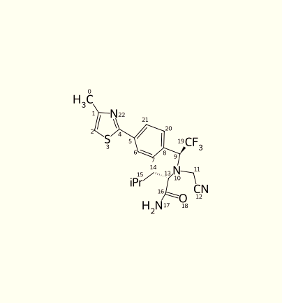 Cc1csc(-c2ccc([C@H](N(CC#N)[C@@H](CC(C)C)C(N)=O)C(F)(F)F)cc2)n1